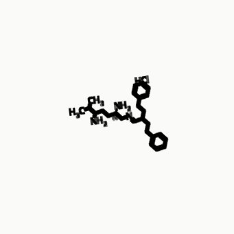 CC(C)C(N)CC[C@H](N)CN=CC(CCc1ccccc1)CCc1ccccc1.Cl